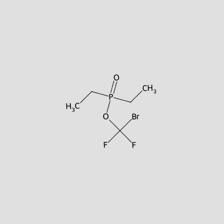 CCP(=O)(CC)OC(F)(F)Br